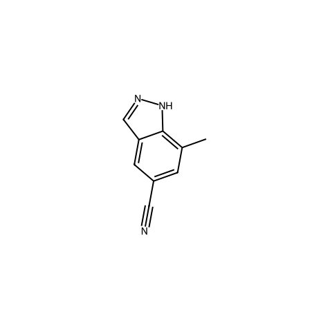 Cc1cc(C#N)cc2cn[nH]c12